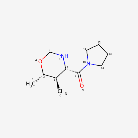 C[C@H]1[C@H](C)OCN[C@@H]1C(=O)N1CCCC1